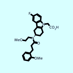 COCCN(C(=O)CCc1ccccc1OC)[C@H]1CCc2c(c3cc(F)ccc3n2CC(=O)O)C1